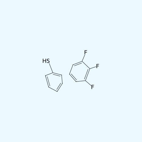 Fc1cccc(F)c1F.Sc1ccccc1